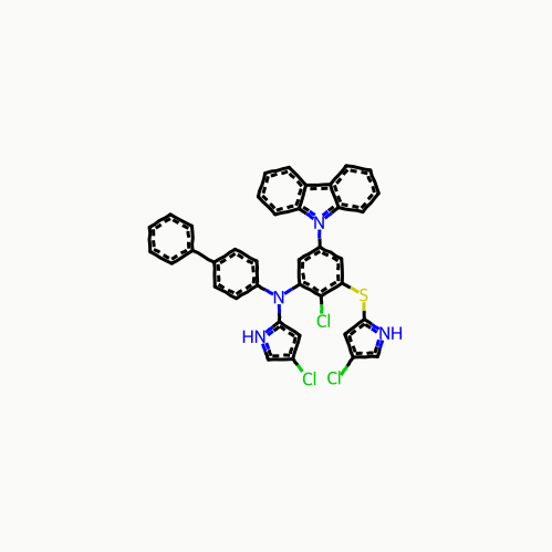 Clc1c[nH]c(Sc2cc(-n3c4ccccc4c4ccccc43)cc(N(c3ccc(-c4ccccc4)cc3)c3cc(Cl)c[nH]3)c2Cl)c1